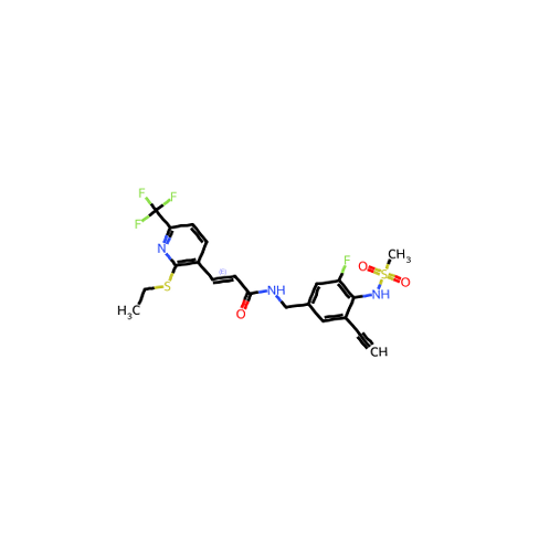 C#Cc1cc(CNC(=O)/C=C/c2ccc(C(F)(F)F)nc2SCC)cc(F)c1NS(C)(=O)=O